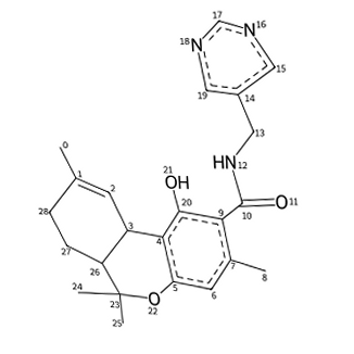 CC1=CC2c3c(cc(C)c(C(=O)NCc4cncnc4)c3O)OC(C)(C)C2CC1